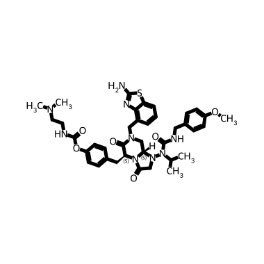 COc1ccc(CNC(=O)N(C(C)C)N2CC(=O)N3[C@@H](Cc4ccc(OC(=O)NCCN(C)C)cc4)C(=O)N(Cc4cccc5sc(N)nc45)C[C@@H]32)cc1